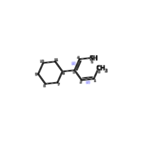 C/C=C\C(=C/S)C1CCCCC1